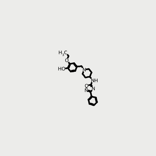 CCOc1cc(CN2CCC(Nc3nc(-c4ccccc4)no3)CC2)ccc1O